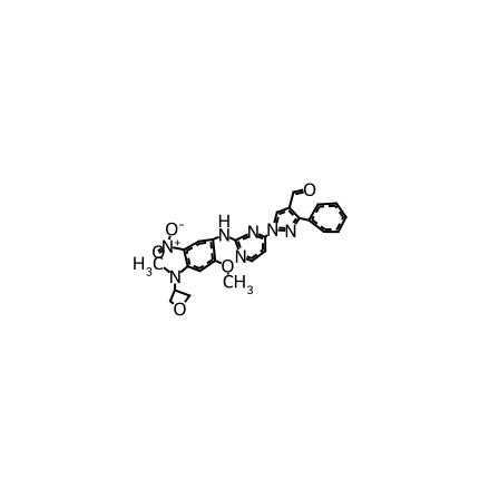 COc1cc(N(C)C2COC2)c([N+](=O)[O-])cc1Nc1nccc(-n2cc(C=O)c(-c3ccccc3)n2)n1